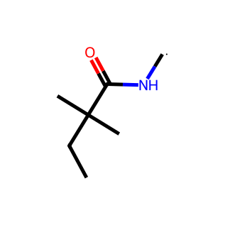 [CH2]NC(=O)C(C)(C)CC